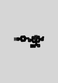 COC(=O)CC(O)(CC(=O)OCc1ccc(O)cc1)C(=O)O